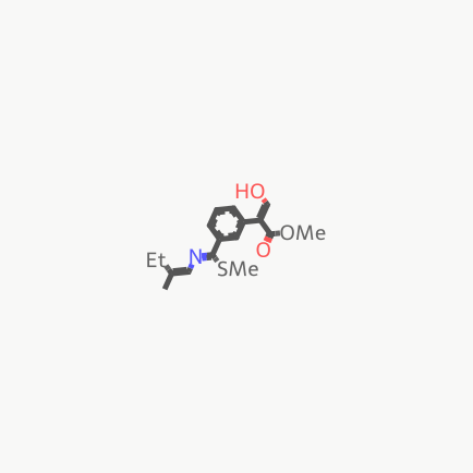 CC/C(C)=C\N=C(/SC)c1cccc(/C(=C\O)C(=O)OC)c1